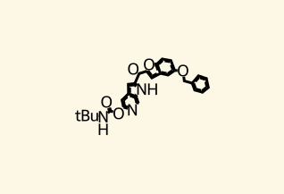 CC(C)(C)NC(=O)Oc1cc2cc(C(=O)c3cc4cc(OCc5ccccc5)ccc4o3)[nH]c2cn1